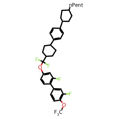 CCCCCC1CCC(c2ccc(C3CCC(C(F)(F)Oc4ccc(-c5ccc(OC(F)(F)F)c(F)c5)c(F)c4)CC3)cc2)CC1